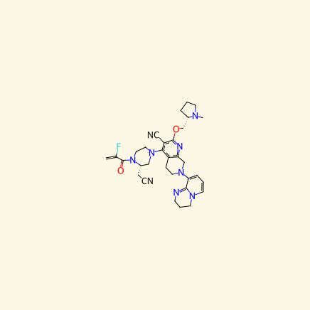 C=C(F)C(=O)N1CCN(c2c(C#N)c(OC[C@@H]3CCCN3C)nc3c2CCN(C2=CC=CN4CCCN=C24)C3)C[C@@H]1CC#N